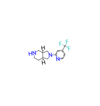 FC(F)(F)c1ccnc(N2C[C@H]3CNCC[C@H]3C2)c1